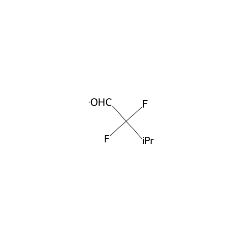 CC(C)C(F)(F)[C]=O